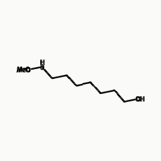 COBCCCCCCCO